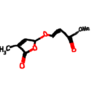 COC(=O)C=COC1C=C(C)C(=O)O1